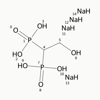 O=P(O)(O)C(CO)P(=O)(O)O.[NaH].[NaH].[NaH].[NaH]